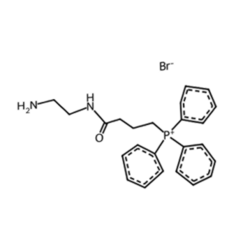 NCCNC(=O)CCC[P+](c1ccccc1)(c1ccccc1)c1ccccc1.[Br-]